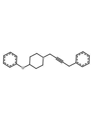 C(#CCN1CCC(Oc2ccccc2)CC1)Cc1ccccc1